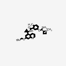 Cc1ccc(OC([SiH3])[C@@H]2CCN2C)cc1C(=O)NC1(c2cc(OCC(C)(C)C)cc3ncccc23)CC1